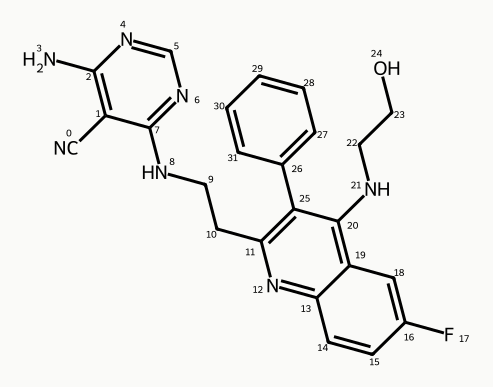 N#Cc1c(N)ncnc1NCCc1nc2ccc(F)cc2c(NCCO)c1-c1ccccc1